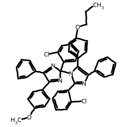 CCCOc1ccc(-c2c(-c3ccccc3)nc(-c3ccccc3Cl)n2C2(c3ccccc3Cl)N=C(c3ccccc3)C(c3ccc(OC)cc3)=N2)cc1